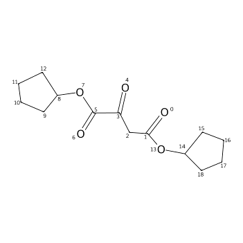 O=C(CC(=O)C(=O)OC1CCCC1)OC1CCCC1